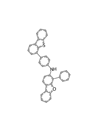 c1ccc(-c2c(Nc3ccc(-c4cccc5c4sc4ccccc45)cc3)ccc3c2oc2ccccc23)cc1